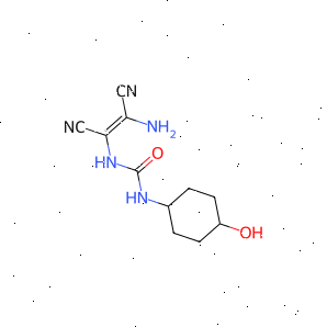 N#CC(N)=C(C#N)NC(=O)NC1CCC(O)CC1